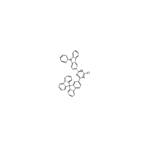 Clc1nc(-c2ccc3c(c2)C2(c4ccccc4-c4ccccc42)c2ccccc2-3)nc(-c2ccc3c(c2)c2ccccc2n3-c2ccccc2)n1